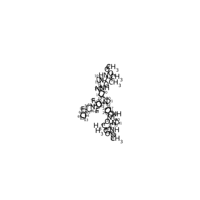 COC(=O)N[C@H](C(=O)N1CCC[C@H]1c1nc2ccc([C@H]3CC[C@H](c4ccc5nc([C@@H]6CCCN6C(=O)[C@@H](NC(=O)OC)C(C)C)[nH]c5c4)N3c3cc(F)c(N4CCC(F)(c5ccccc5)CC4)c(F)c3)cc2[nH]1)C(C)C